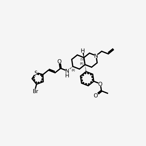 C=CCN1CC[C@@]2(c3cccc(OC(C)=O)c3)C[C@H](NC(=O)C=Cc3cc(Br)cs3)CC[C@@H]2C1